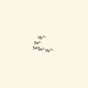 [Se-2].[Se-2].[Se-2].[Yb+3].[Yb+3]